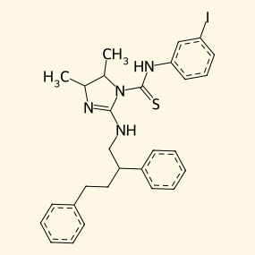 CC1N=C(NCC(CCc2ccccc2)c2ccccc2)N(C(=S)Nc2cccc(I)c2)C1C